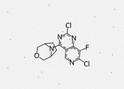 Fc1c(Cl)ncc2c(N3C4CCC3COC4)nc(Cl)nc12